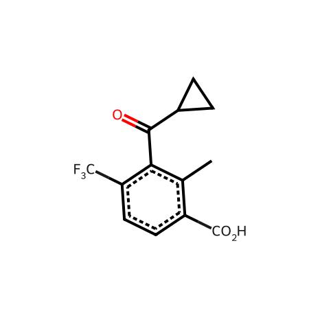 Cc1c(C(=O)O)ccc(C(F)(F)F)c1C(=O)C1CC1